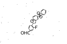 O=Cc1ccc(C2Cc3cc(S(=O)(=O)c4ccccc4)ccc3O2)c(F)c1